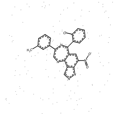 Cc1cccc(-c2cnc3c(cc([N+](=O)[O-])c4nncc43)c(-c3ccccc3Cl)n2)c1